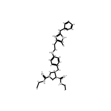 CCOC(=O)[C@H]1CN(C(=O)OCC)C[C@H]1Cc1ccc(OCCc2nc(Cc3ccccc3)oc2C)cc1